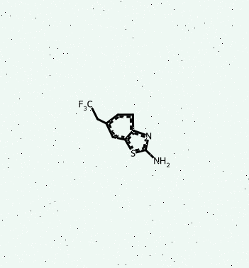 Nc1nc2ccc(CC(F)(F)F)cc2s1